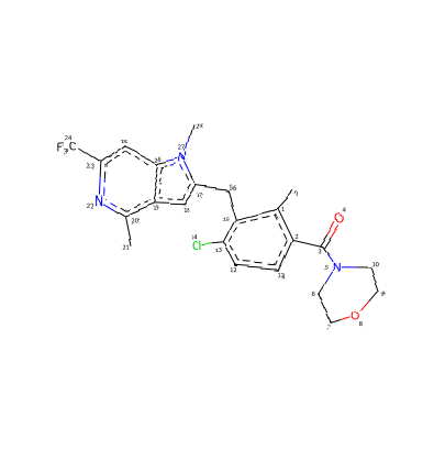 Cc1c(C(=O)N2CCOCC2)ccc(Cl)c1Cc1cc2c(C)nc(C(F)(F)F)cc2n1C